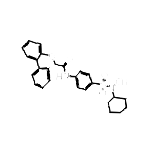 CN(C1CCCCC1)S(=O)(=O)c1ccc(NC(=O)COc2ccccc2-c2ccccc2)cc1